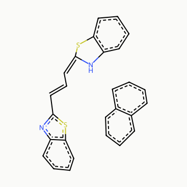 C(=Cc1nc2ccccc2s1)C=C1Nc2ccccc2S1.c1ccc2ccccc2c1